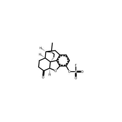 CN1CC[C@]23c4c5ccc(OS(=O)(=O)F)c4O[C@H]2C(=O)CC[C@H]3[C@H]1C5